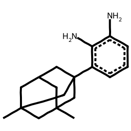 CC12CC3CC(C)(C1)CC(c1cccc(N)c1N)(C3)C2